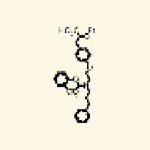 CCOC(Cc1ccc(OCCN(CCCc2ccccc2)C(=O)Oc2ccccc2C(F)(F)F)cc1)C(=O)O